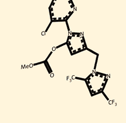 COC(=O)Oc1cc(Cn2nc(C(F)(F)F)cc2C(F)(F)F)nn1-c1ncccc1Cl